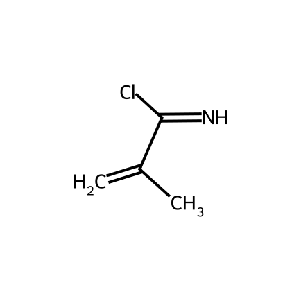 C=C(C)C(=N)Cl